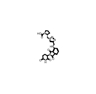 O=C1CCC(N2C(=O)c3cccc(NCc4cn(C[C@@H]5CCCN5C(=O)O)nn4)c3C2=O)C(=O)N1